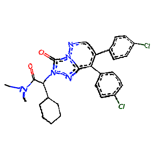 CN(C)C(=O)C(C1CCCCC1)n1nc2c(-c3ccc(Cl)cc3)c(-c3ccc(Cl)cc3)cnn2c1=O